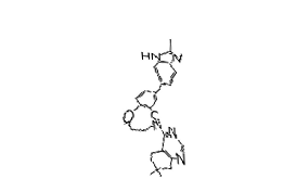 Cc1nc2ccc(-c3ccc4c(c3)CN(c3ncnc5c3CCC(C)(C)C5)CCO4)cc2[nH]1